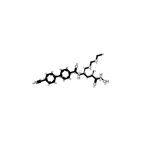 CCOCOC[C@@H](C[C@@H](C)C(=O)NO)NC(=O)c1ccc(-c2ccc(C#N)cc2)cc1